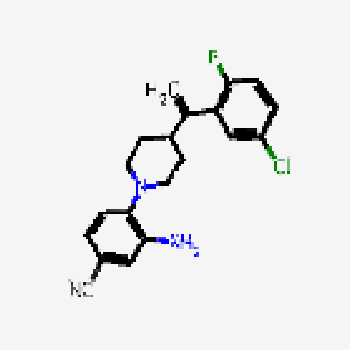 C=C(c1cc(Cl)ccc1F)C1CCN(c2ccc(C#N)cc2N)CC1